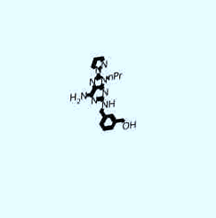 CCCn1c(-n2cccn2)nc2c(N)nc(NCc3cccc(CO)c3)nc21